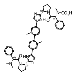 Cc1cc(-c2cnc([C@@H]3CCCN3C(=O)[C@@H](c3ccccc3)N(C)C)[nH]2)ccc1-c1ccc(-c2cnc([C@@H]3CCCN3C(=O)[C@@H](c3ccccc3)N(C)C(=O)O)[nH]2)cc1C